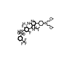 COCCN(CCOC)C1CCC(c2cnc(N)c3c(-c4cc(F)c(NS(=O)(=O)c5cccc(C(F)(F)F)c5)cc4F)nn(C(C)C)c23)CC1